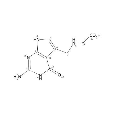 Nc1nc2[nH]cc(CNCC(=O)O)c2c(=O)[nH]1